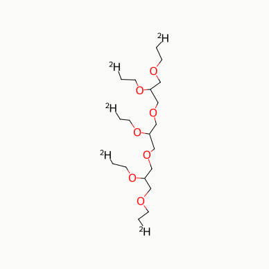 [2H]CCOCC(COCC(COCC(COCC[2H])OCC[2H])OCC[2H])OCC[2H]